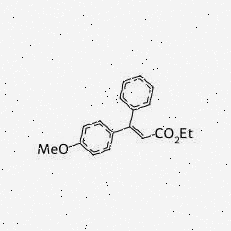 CCOC(=O)/C=C(\c1ccccc1)c1ccc(OC)cc1